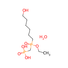 CCOP(=O)(CCCCCCO)CP(=O)(O)O.O